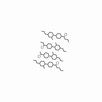 CCCC(=O)C1CCC(C2CCC(CCC)CC2C)CC1.CCCC1CCC(C2CCC(C(=O)CC)CC2)C(C)C1.CCCC1CCC(C2CCC(C(C)=O)CC2)C(C)C1.CCCCC(=O)C1CCC(C2CCC(CCC)CC2C)CC1